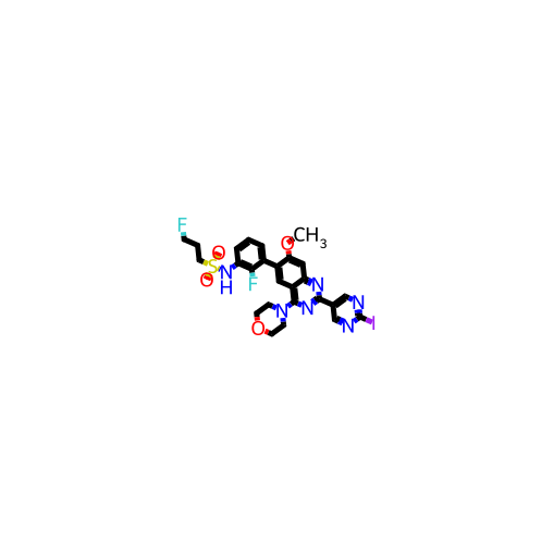 COc1cc2nc(-c3cnc(I)nc3)nc(N3CCOCC3)c2cc1-c1cccc(NS(=O)(=O)CCCF)c1F